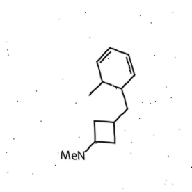 CNC1CC(CC2C=CC=CC2C)C1